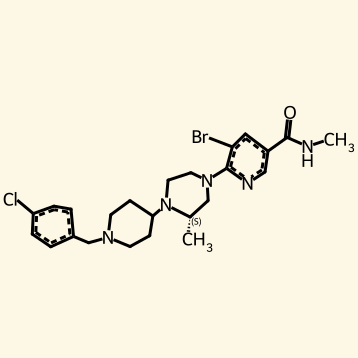 CNC(=O)c1cnc(N2CCN(C3CCN(Cc4ccc(Cl)cc4)CC3)[C@@H](C)C2)c(Br)c1